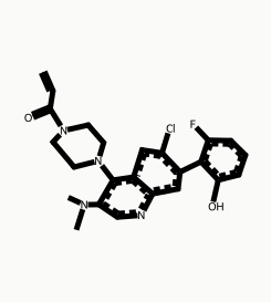 C=CC(=O)N1CCN(c2c(N(C)C)cnc3cc(-c4c(O)cccc4F)c(Cl)cc23)CC1